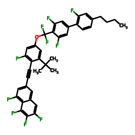 CCCCc1ccc(-c2cc(F)c(C(F)(F)Oc3cc(F)c(C#Cc4cc(F)c5c(F)c(F)c(F)cc5c4)c(C(C)(C)C)c3)c(F)c2)c(F)c1